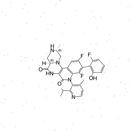 Cc1ccnc(C(C)C)c1-n1c(=O)c2c(c3cc(F)c(-c4c(O)cccc4F)c(F)c31)N1C[C@@H](C)NC[C@@H]1C(=O)N2